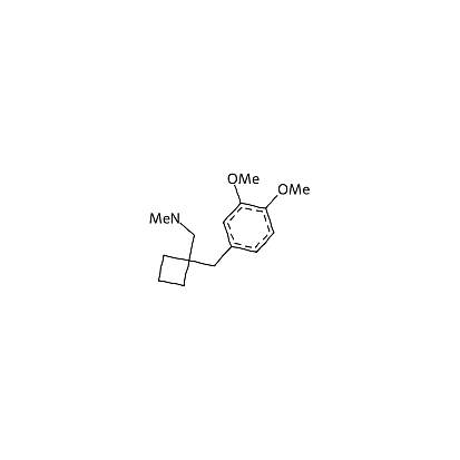 CNCC1(Cc2ccc(OC)c(OC)c2)CCC1